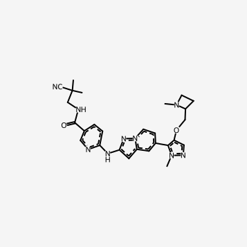 CN1CCC1COc1cnn(C)c1-c1ccn2nc(Nc3ccc(C(=O)NCC(C)(C)C#N)cn3)cc2c1